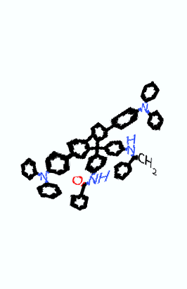 C=C(Nc1ccc(C2(c3ccc(NC(=O)c4ccccc4)cc3)c3cc(-c4ccc(N(c5ccccc5)c5ccccc5)cc4)ccc3-c3ccc(-c4ccc(N(c5ccccc5)c5ccccc5)cc4)cc32)cc1)c1ccccc1